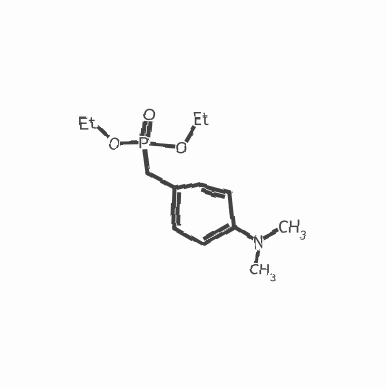 CCOP(=O)(Cc1ccc(N(C)C)cc1)OCC